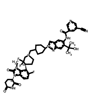 Cn1c(=O)n([C@H]2CCC(=O)NC2=O)c2ccc(F)c([C@@H]3CCN(CC4CCC(n5cc6cc(NC(=O)c7cncc(C#N)c7)c(C(C)(C)O)cc6n5)CC4)CC3(F)F)c21